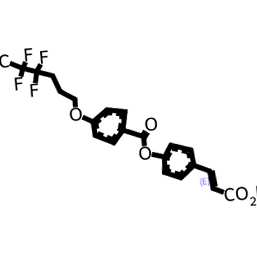 CCOC(=O)/C=C/c1ccc(OC(=O)c2ccc(OCCCC(F)(F)C(F)(F)C(F)(F)F)cc2)cc1